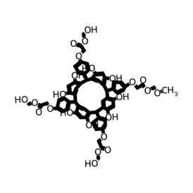 COCOC(=O)COc1ccc(C2c3cc(c(O)cc3O)C(c3ccc(OCC(=O)OCO)cc3)c3cc(c(O)cc3O)C(c3ccc(OCC(=O)OCO)cc3)c3cc(c(O)cc3O)C(c3ccc(OCC(=O)OCO)cc3)c3cc2c(O)cc3O)cc1